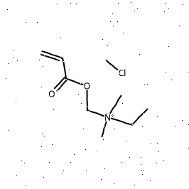 C=CC(=O)OC[N+](C)(C)CC.CCl